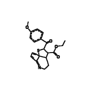 CCOC(=O)C1C(C(=O)c2ccc(OC)cc2)SC23C=CC=CC2=NCCC13